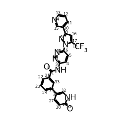 O=C(Nc1ccc(-n2nc(-c3cccnc3)cc2C(F)(F)F)nn1)c1cccc(-c2ccc(=O)[nH]c2)c1